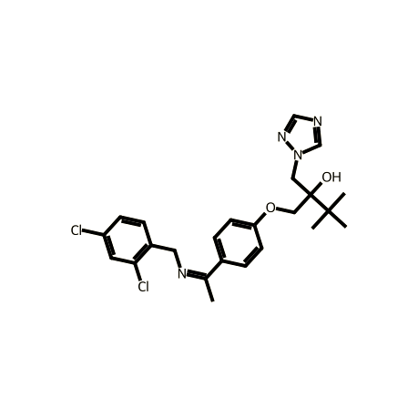 C/C(=N/Cc1ccc(Cl)cc1Cl)c1ccc(OCC(O)(Cn2cncn2)C(C)(C)C)cc1